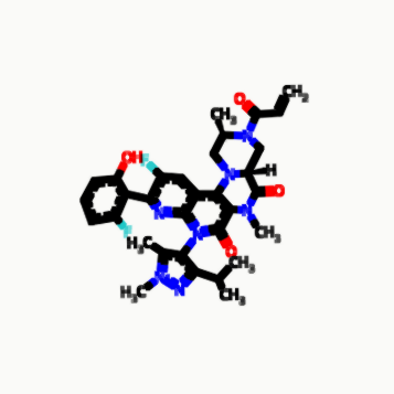 C=CC(=O)N1C[C@@H]2C(=O)N(C)c3c(c4cc(F)c(-c5c(O)cccc5F)nc4n(-c4c(C(C)C)nn(C)c4C)c3=O)N2C[C@H]1C